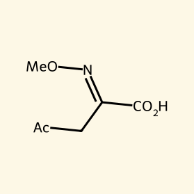 CO/N=C(\CC(C)=O)C(=O)O